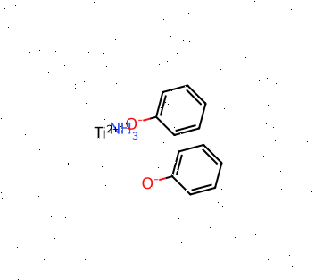 N.[O-]c1ccccc1.[O-]c1ccccc1.[Ti+2]